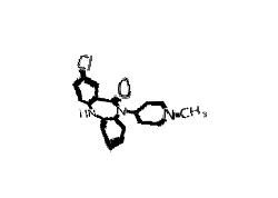 CN1CCC(N2C(=O)c3cc(Cl)ccc3Nc3ccccc32)CC1